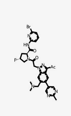 CC(=O)c1nn(CC(=O)N2C[C@H](F)C[C@H]2C(=O)Nc2cccc(Br)n2)c2cc(CN(C)C)c(-c3cnc(C)nc3)cc12